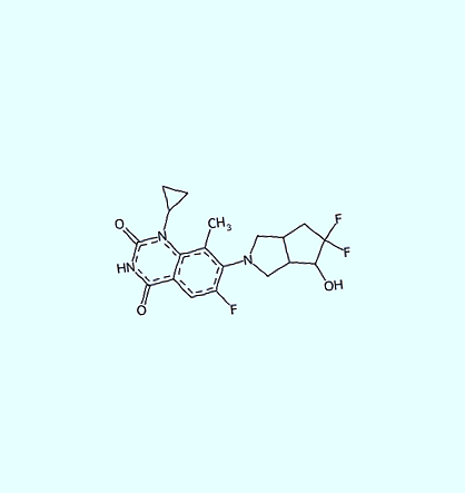 Cc1c(N2CC3CC(F)(F)C(O)C3C2)c(F)cc2c(=O)[nH]c(=O)n(C3CC3)c12